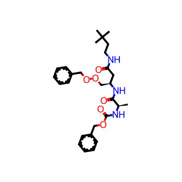 C[C@@H](NC(=O)OCc1ccccc1)C(=O)N[C@@H](COOCc1ccccc1)CC(=O)NCCC(C)(C)C